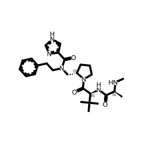 CN[C@@H](C)C(=O)N[C@H](C(=O)N1CCC[C@H]1CN(CCc1ccccc1)C(=O)c1c[nH]cn1)C(C)(C)C